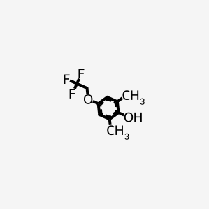 Cc1cc(OCC(F)(F)F)cc(C)c1O